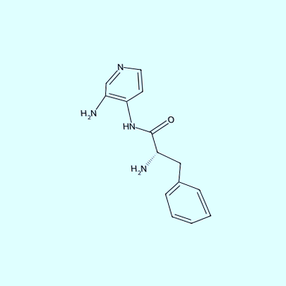 Nc1cnccc1NC(=O)[C@@H](N)Cc1ccccc1